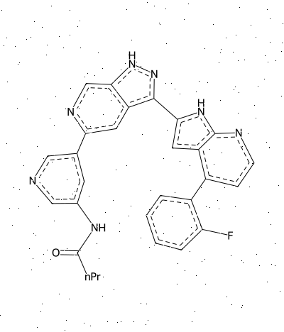 CCCC(=O)Nc1cncc(-c2cc3c(-c4cc5c(-c6ccccc6F)ccnc5[nH]4)n[nH]c3cn2)c1